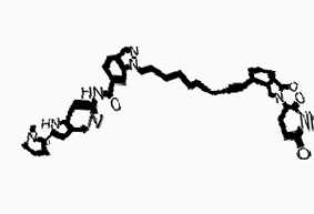 CN1CCC[C@@H]1c1cc2cnc(NC(=O)c3ccc4cnn(CCCCCCCC#Cc5cccc6c5CN(C5CCC(=O)NC5=O)C6=O)c4c3)cc2[nH]1